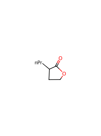 CCCC1CCOC1=O